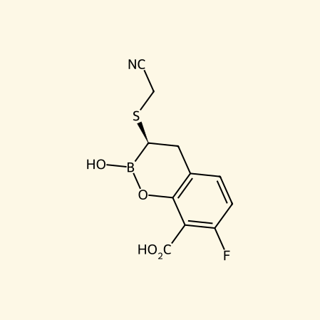 N#CCS[C@H]1Cc2ccc(F)c(C(=O)O)c2OB1O